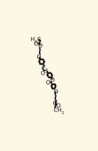 C=CC(=O)OCCCCOc1ccc(/C=C/C(=O)Sc2ccc(OC(=O)c3ccc(OCCCCOC(=O)C=C)cc3)cc2)cc1